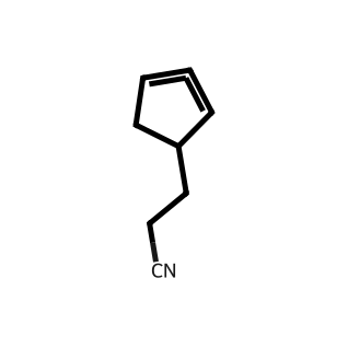 N#CCCC1C=C=CC1